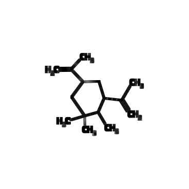 C=C(C)C1CC(C(=C)C)C(C)C(C)(C)C1